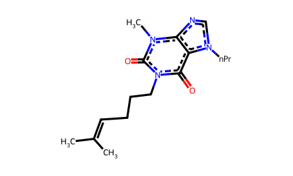 CCCn1cnc2c1c(=O)n(CCCC=C(C)C)c(=O)n2C